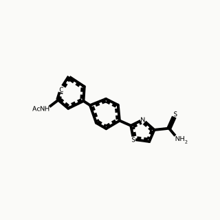 CC(=O)Nc1cccc(-c2ccc(-c3nc(C(N)=S)cs3)cc2)c1